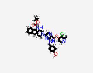 COc1ccc(Cn2nc(Oc3ccnc(C)c3Cl)c3ncc(N4CCC5(CC4)Cc4ccccc4[C@H]5NC(=O)OC(C)(C)C)nc32)cc1